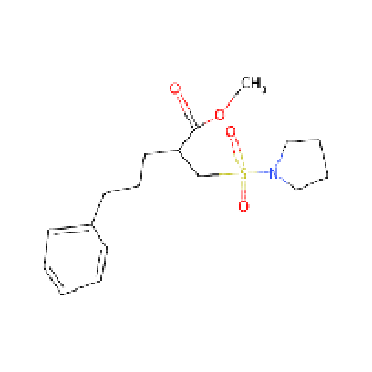 COC(=O)C(CCCc1ccccc1)CS(=O)(=O)N1CCCC1